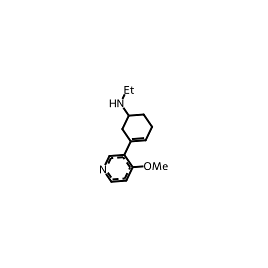 CCNC1CCC=C(c2cnccc2OC)C1